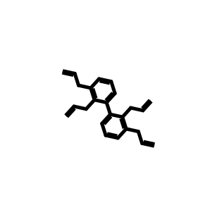 C=CCc1cccc(-c2cccc(CC=C)c2CC=C)c1CC=C